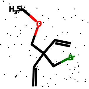 C=CC(C=C)(CBr)CO[SiH3]